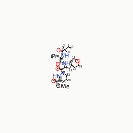 C=CC(C)(C)C(=O)N[C@H](C(=O)N[C@@H](CC1CCOCC1)C(=O)N1CCC[C@@H](C(=O)OC)N1)C(C)C